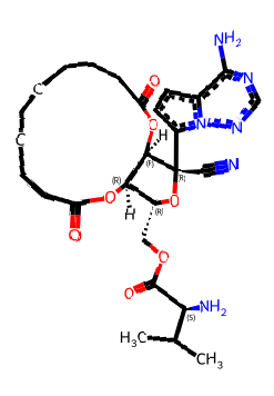 CC(C)[C@H](N)C(=O)OC[C@H]1O[C@@](C#N)(c2ccc3c(N)ncnn23)[C@@H]2OC(=O)CCCCCCCCC(=O)O[C@@H]21